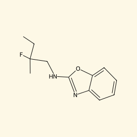 CCC(C)(F)CNc1nc2ccccc2o1